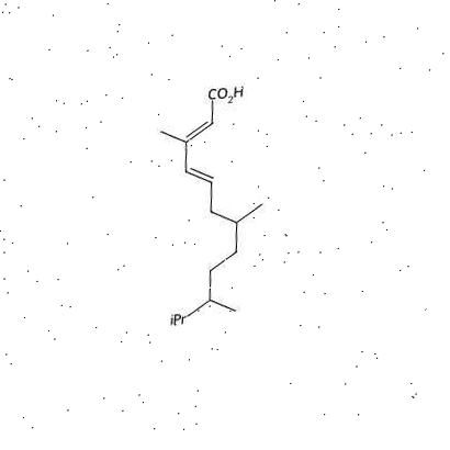 CC(C=CCC(C)CCC(C)C(C)C)=CC(=O)O